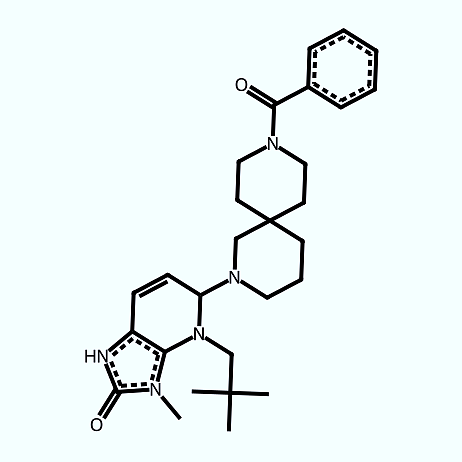 Cn1c2c([nH]c1=O)C=CC(N1CCCC3(CCN(C(=O)c4ccccc4)CC3)C1)N2CC(C)(C)C